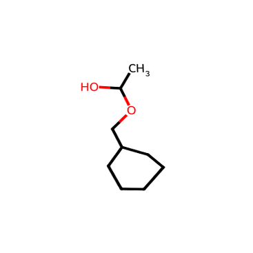 CC(O)OCC1CCCCC1